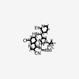 CCc1ncccc1C(Nc1cc(Cl)c2ncc(C#N)c(NCC(C)(C)C)c2c1)c1cn(C2(C(F)(F)F)CC2)nn1